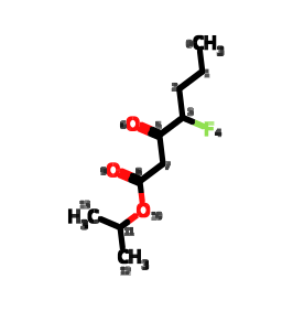 CCCC(F)C(=O)CC(=O)OC(C)C